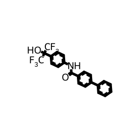 O=C(Nc1ccc(C(O)(C(F)(F)F)C(F)(F)F)cc1)c1ccc(-c2ccccc2)cc1